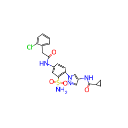 NS(=O)(=O)c1cc(NC(=O)Cc2ccccc2Cl)ccc1-n1cc(NC(=O)C2CC2)cn1